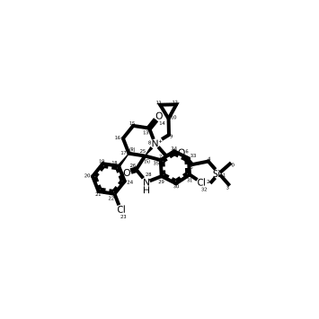 C[Si](C)(C)CCOC[N+]1(CC2CC2)C(=O)CC[C@H](c2cccc(Cl)c2)[C@]12C(=O)Nc1cc(Cl)ccc12